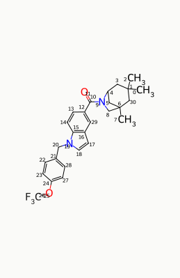 CC1(C)CC2CC(C)(CN2C(=O)c2ccc3c(ccn3Cc3ccc(OC(F)(F)F)cc3)c2)C1